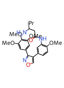 COc1ccc(-c2conc2-c2cc(OC)c(OC)c(OC)c2)cc1NC(=O)CC(N)C(C)C